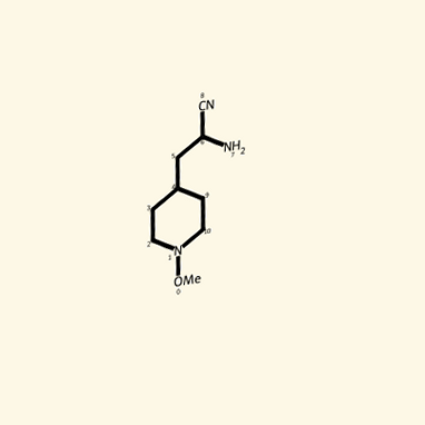 CON1CCC(CC(N)C#N)CC1